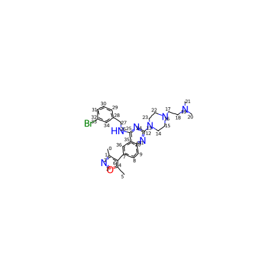 Cc1noc(C)c1-c1ccc2nc(N3CCN(CCN(C)C)CC3)nc(NCc3cccc(Br)c3)c2c1